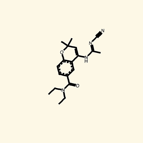 CCN(CC)C(=O)c1ccc2c(c1)C(NC(C)=NC#N)=CC(C)(C)O2